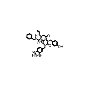 C=CCN1CC(=O)N2[C@@H](Cc3ccc(O)cc3)C(=O)N(CC3=CC4NNN(C)C4C=C3)C[C@@H]2N1C(=O)NCc1ccccc1